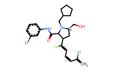 C=C(Cl)/C=C\C=C(/F)C1C[C@H](CO)N(CC2CCCC2)C1C(=O)Nc1cccc(Cl)c1